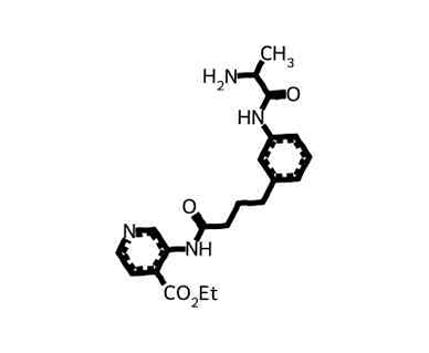 CCOC(=O)c1ccncc1NC(=O)CCCc1cccc(NC(=O)C(C)N)c1